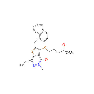 COC(=O)CCCSc1c(Cc2cccc3ccccc23)sc2c(CC(C)C)nn(C)c(=O)c12